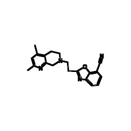 Cc1cc(C)c2c(n1)CN(CCc1nc3cccc(C#N)c3o1)CC2